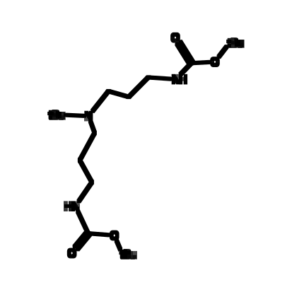 CC(C)(C)OC(=O)NCCCN(CCCNC(=O)OC(C)(C)C)C(C)(C)C